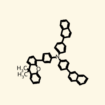 CC1(C)c2ccccc2Oc2c(-c3ccc(N(c4ccc(-c5ccc6ccccc6c5)cc4)c4ccc(-c5ccc6ccccc6c5)cc4)cc3)cccc21